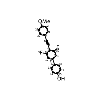 COc1ccc(C#Cc2c(F)cc(-c3ccc(O)cc3)cc2F)cc1